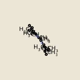 Cc1cc(C)cc(N(c2cccc(-c3ccccc3)c2)c2ccc3c(c2)C(C)(C)c2cc(/C=C/c4ccc5c(c4)C(C)(C)c4cc(/C=C/c6ccc7c(c6)C(C)(C)c6cc(N(c8cc(C)cc(C)c8)c8cccc(-c9ccccc9)c8)ccc6-7)ccc4-5)ccc2-3)c1